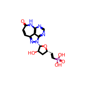 O=C1C=Cc2nn([C@@H]3O[C@H](/C=C/P(=O)(O)O)C[C@H]3O)c3ncnc(c23)N1